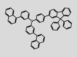 c1ccc(C2(c3ccccc3)c3ccccc3-c3ccc(-c4ccc(N(c5cccc(-c6cccc7ccccc67)c5)c5cccc(-c6cccc7ccccc67)c5)cc4)cc32)cc1